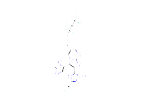 FC(F)(F)c1n[nH]c(-c2nc3ncc(COCC(F)(F)C(F)(F)C(F)(F)F)cn3c2-c2cnc[nH]2)n1